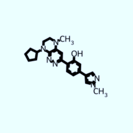 CN1CCN(C2CCCC2)c2nnc(-c3ccc(-c4cnn(C)c4)cc3O)cc21